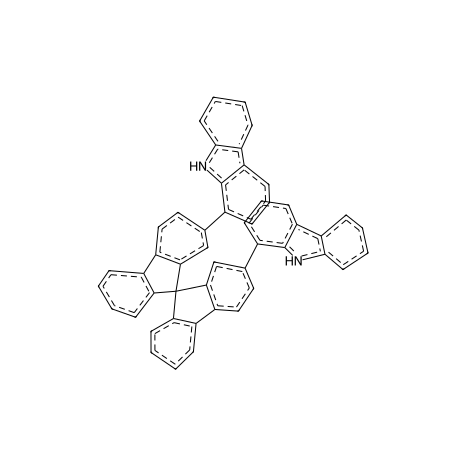 c1ccc2c(c1)-c1ccc(-c3cccc4c3[nH]c3ccccc34)cc1C21c2ccccc2-c2ccc(-c3cccc4c3[nH]c3ccccc34)cc21